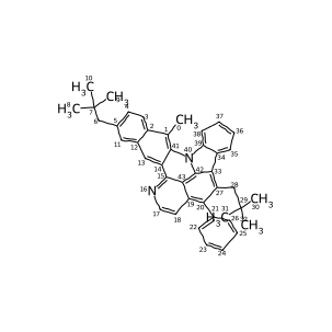 Cc1c2ccc(CC(C)(C)C)cc2cc2c3nccc4c(-c5ccccc5)c(CC(C)(C)C)c5c6ccccc6n(c12)c5c43